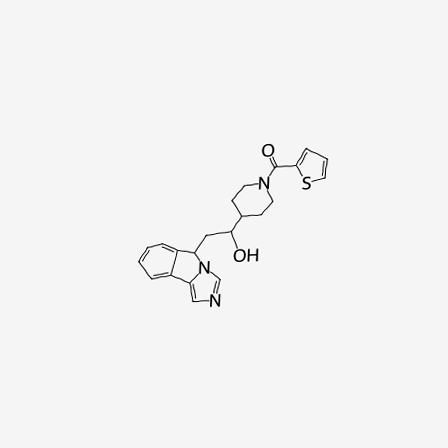 O=C(c1cccs1)N1CCC(C(O)CC2c3ccccc3-c3cncn32)CC1